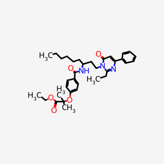 CCCCCCC(CCn1c(CC)nc(-c2ccccc2)cc1=O)NC(=O)c1ccc(OC(C)(C)C(=O)OCC)cc1